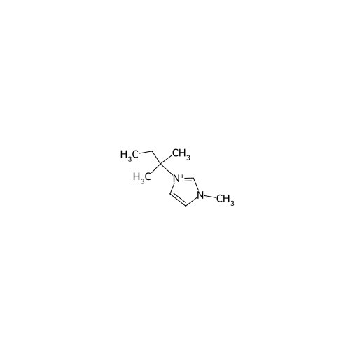 CCC(C)(C)[n+]1ccn(C)c1